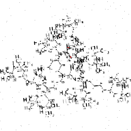 CC1(C)CC(CCCCNc2nc(OC3CC(C)(C)NC(C)(C)C3)nc(N(CCCN(c3nc(NCCCCC4CC(C)(C)NC(C)(C)C4)nc(OC4CC(C)(C)NC(C)(C)C4)n3)C3CC(C)(C)NC(C)(C)C3)CCCN(c3nc(NCCCCC4CC(C)(C)NC(C)(C)C4)nc(OC4CC(C)(C)NC(C)(C)C4)n3)C3CC(C)(C)NC(C)(C)C3)n2)CC(C)(C)N1